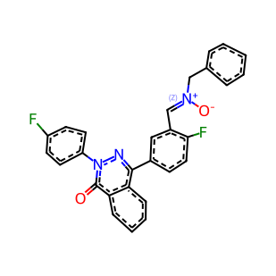 O=c1c2ccccc2c(-c2ccc(F)c(/C=[N+](\[O-])Cc3ccccc3)c2)nn1-c1ccc(F)cc1